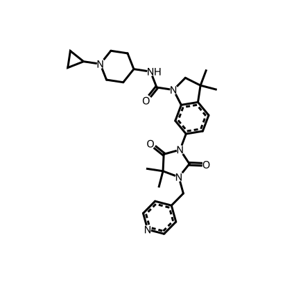 CC1(C)CN(C(=O)NC2CCN(C3CC3)CC2)c2cc(N3C(=O)N(Cc4ccncc4)C(C)(C)C3=O)ccc21